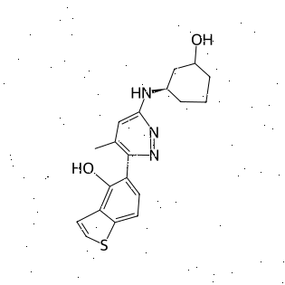 Cc1cc(N[C@@H]2CCCC(O)C2)nnc1-c1ccc2sccc2c1O